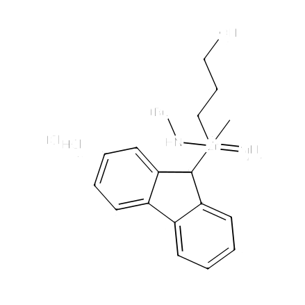 CC(C)(C)[NH][Zr]([CH3])(=[SiH2])([CH2]CCO)[CH]1c2ccccc2-c2ccccc21.Cl.Cl